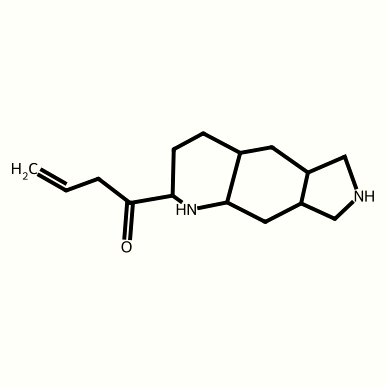 C=CCC(=O)C1CCC2CC3CNCC3CC2N1